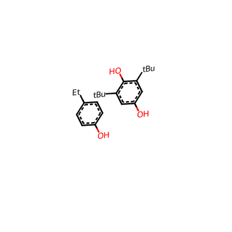 CC(C)(C)c1cc(O)cc(C(C)(C)C)c1O.CCc1ccc(O)cc1